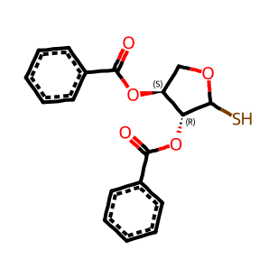 O=C(O[C@H]1COC(S)[C@@H]1OC(=O)c1ccccc1)c1ccccc1